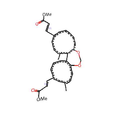 COC(=O)/C=C/c1ccccc2c(c(C)cc1)-c1cccc(/C=C/C(=O)OC)cc(C)ccc1OCO2